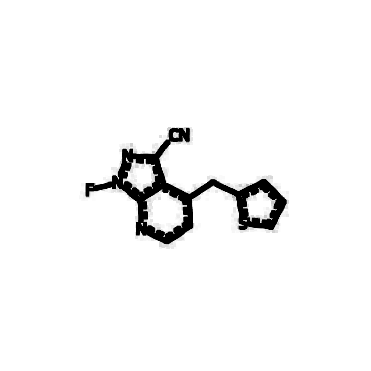 N#Cc1nn(F)c2nccc(Cc3cccs3)c12